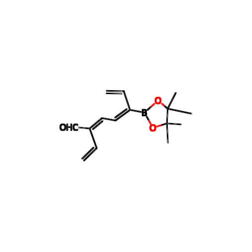 C=C/C(=C\C=C(/C=C)C=O)B1OC(C)(C)C(C)(C)O1